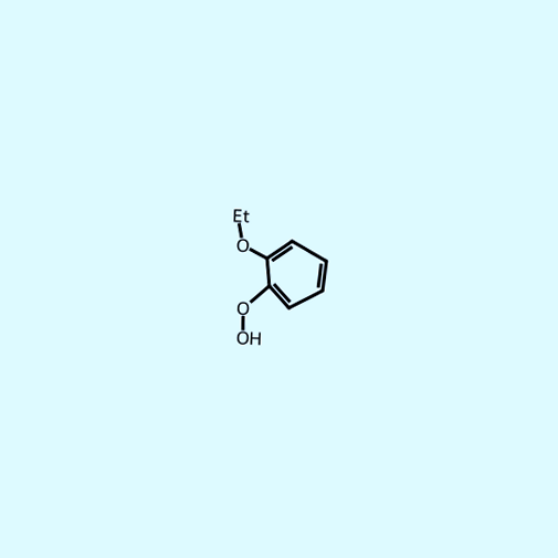 CCOc1ccccc1OO